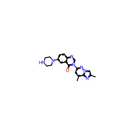 Cc1cn2nc(-n3cnc4ccc(N5CCNCC5)cc4c3=O)cc(C)c2n1